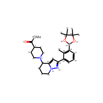 COC(=O)C1CCN(C2CCCn3nc(-c4cccc(B5OC(C)(C)C(C)(C)O5)c4C)cc32)CC1